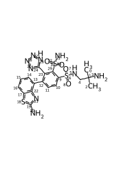 CC(C)(N)CNS(=O)(=O)c1ccc(-c2cccc3sc(N)nc23)c(-c2nnn[nH]2)c1S(N)(=O)=O